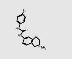 CCc1ccc(NC(=O)Nc2ccc3c(c2)CC[C@H](N)C3)cc1